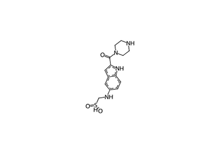 O=C(c1cc2cc(NC[SH](=O)=O)ccc2[nH]1)N1CCNCC1